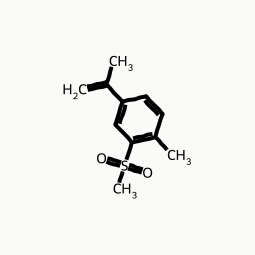 C=C(C)c1ccc(C)c(S(C)(=O)=O)c1